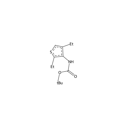 CCc1csc(CC)c1NC(=O)OC(C)(C)C